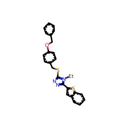 CCn1c(SCc2ccc(OCc3ccccc3)cc2)nnc1-c1cc2ccccc2s1